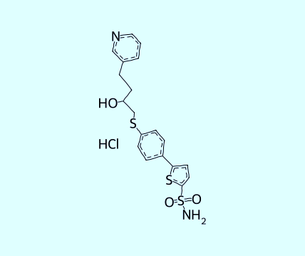 Cl.NS(=O)(=O)c1ccc(-c2ccc(SCC(O)CCc3cccnc3)cc2)s1